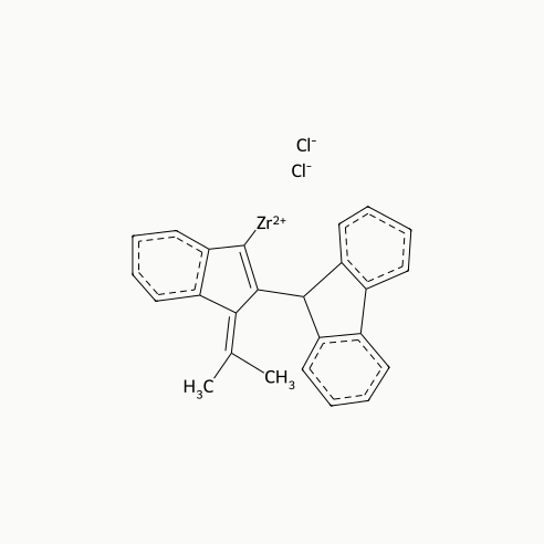 CC(C)=C1C(C2c3ccccc3-c3ccccc32)=[C]([Zr+2])c2ccccc21.[Cl-].[Cl-]